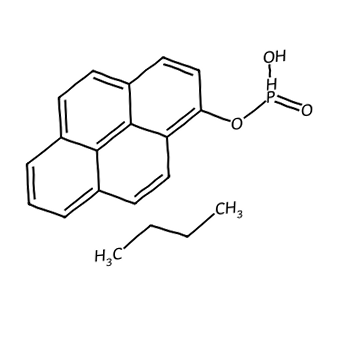 CCCC.O=[PH](O)Oc1ccc2ccc3cccc4ccc1c2c34